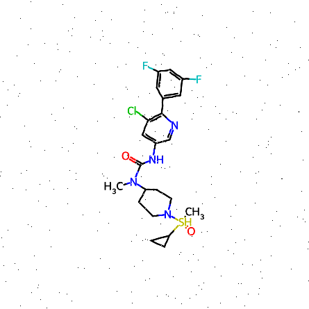 CN(C(=O)Nc1cnc(-c2cc(F)cc(F)c2)c(Cl)c1)C1CCN([SH](C)(=O)C2CC2)CC1